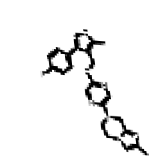 Cc1cn2c(n1)CN(c1cnc(OCc3c(-c4ccc(F)cc4)noc3C)cn1)CC2